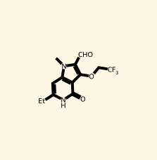 CCc1cc2c(c(OCC(F)(F)F)c(C=O)n2C)c(=O)[nH]1